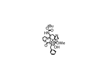 COC(=O)C(O)C(Cc1ccccc1)NC(=O)[C@@H]1CCCN1C(=O)[C@H](Cc1cscn1)NC(=O)OC(C)(C)C